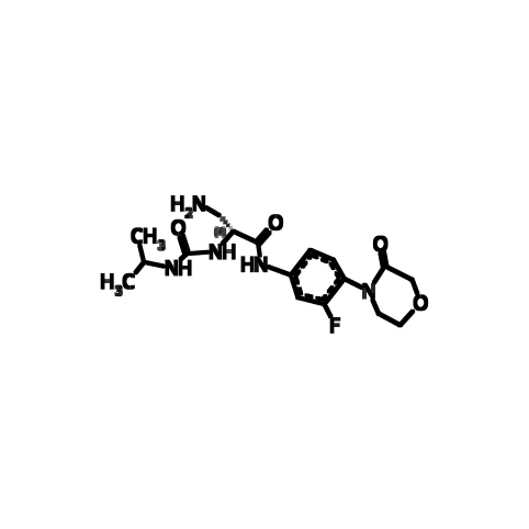 CC(C)NC(=O)N[C@H](CN)C(=O)Nc1ccc(N2CCOCC2=O)c(F)c1